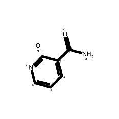 NC(=O)c1cccnc1.[O]